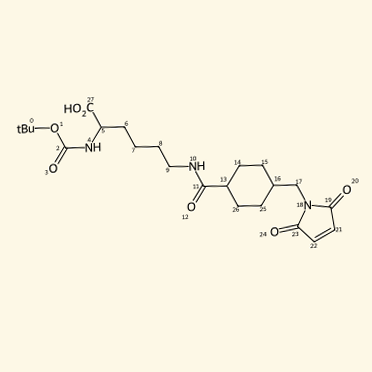 CC(C)(C)OC(=O)NC(CCCCNC(=O)C1CCC(CN2C(=O)C=CC2=O)CC1)C(=O)O